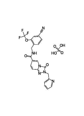 N#Cc1ccc(CNC(=O)c2ccc3nn(Cc4ccccn4)c(=O)n3c2)c(OC(F)(F)F)c1.O=S(=O)(O)O